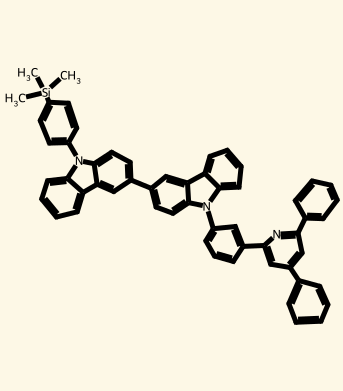 C[Si](C)(C)c1ccc(-n2c3ccccc3c3cc(-c4ccc5c(c4)c4ccccc4n5-c4cccc(-c5cc(-c6ccccc6)cc(-c6ccccc6)n5)c4)ccc32)cc1